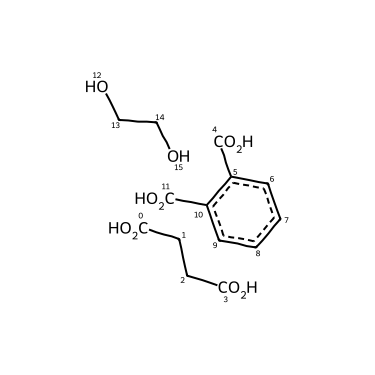 O=C(O)CCC(=O)O.O=C(O)c1ccccc1C(=O)O.OCCO